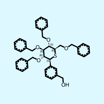 OCc1cccc([C@@H]2S[C@H](COCc3ccccc3)[C@@H](OCc3ccccc3)[C@H](OCc3ccccc3)[C@H]2OCc2ccccc2)c1